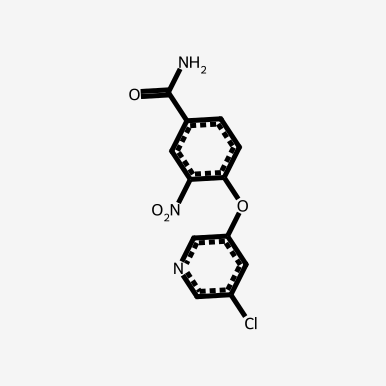 NC(=O)c1ccc(Oc2cncc(Cl)c2)c([N+](=O)[O-])c1